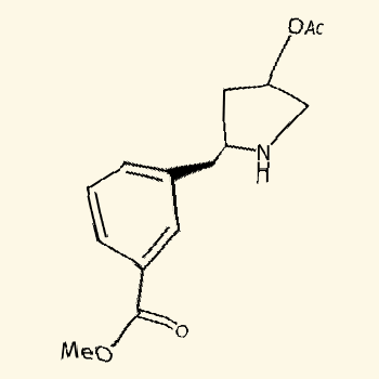 COC(=O)c1cccc([C@H]2CC(OC(C)=O)CN2)c1